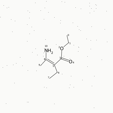 CCOC(=O)C(CC)=C(C)N